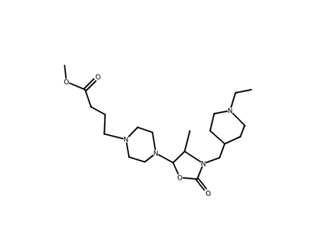 CCN1CCC(CN2C(=O)OC(N3CCN(CCCC(=O)OC)CC3)C2C)CC1